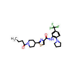 CCCC(=O)N1CCC(c2nc(C(=O)Nc3cc(C(F)(F)F)ccc3N3CCCC3)cs2)CC1